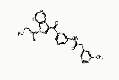 C[C@@H](CO)N1C=C(C(=O)c2cncc(NC(=O)Cc3cccc(C(F)(F)F)c3)c2)C2C=NC=NC21